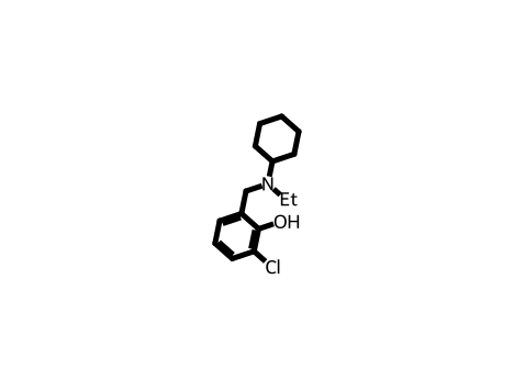 CCN(Cc1cccc(Cl)c1O)C1CCCCC1